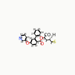 O=C(OC(CCC=S)C(=O)O)c1ccc(Oc2cccnc2)cc1-c1ccccc1